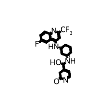 O=C1CC(C(O)N[C@@H]2CCC[C@H](Nc3cc(C(F)(F)F)nc4ccc(F)cc34)C2)=CC=N1